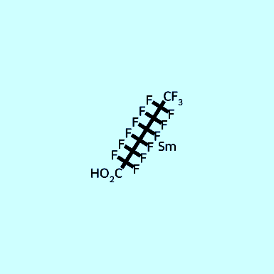 O=C(O)C(F)(F)C(F)(F)C(F)(F)C(F)(F)C(F)(F)C(F)(F)C(F)(F)F.[Sm]